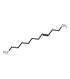 [CH2]CCCCCCC=CC[CH]C